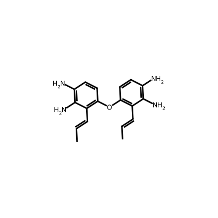 CC=Cc1c(Oc2ccc(N)c(N)c2C=CC)ccc(N)c1N